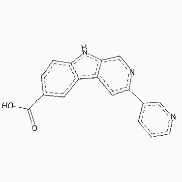 O=C(O)c1ccc2[nH]c3cnc(-c4cccnc4)cc3c2c1